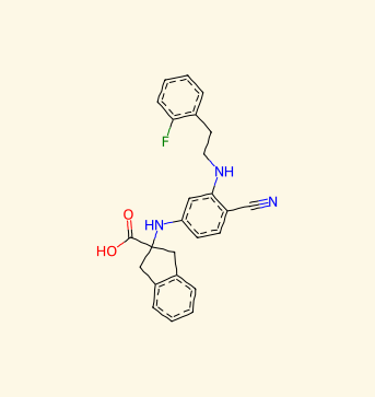 N#Cc1ccc(NC2(C(=O)O)Cc3ccccc3C2)cc1NCCc1ccccc1F